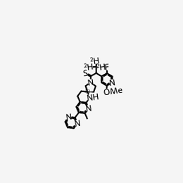 [2H]C([2H])([2H])C(C(=S)N1CC[C@@]2(CCc3cc(-c4ncccn4)c(C)nc3N2)C1)c1cc(OC)ncc1F